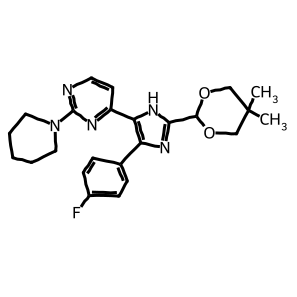 CC1(C)COC(c2nc(-c3ccc(F)cc3)c(-c3ccnc(N4CCCCC4)n3)[nH]2)OC1